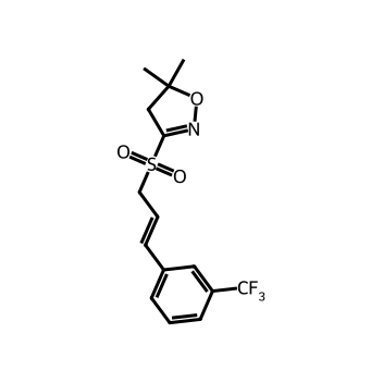 CC1(C)CC(S(=O)(=O)CC=Cc2cccc(C(F)(F)F)c2)=NO1